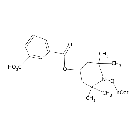 CCCCCCCCON1C(C)(C)CC(OC(=O)c2cccc(C(=O)O)c2)CC1(C)C